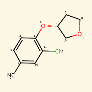 N#Cc1ccc(O[C@@H]2CCOC2)c(Cl)c1